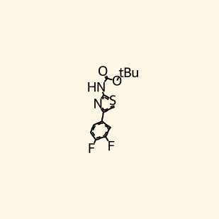 CC(C)(C)OC(=O)Nc1nc(-c2ccc(F)c(F)c2)cs1